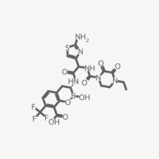 CCN1CCN(C(=O)NC(C(=O)N[C@H]2Cc3ccc(C(F)(F)F)c(C(=O)O)c3OB2O)c2csc(N)n2)C(=O)C1=O